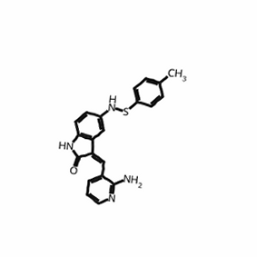 Cc1ccc(SNc2ccc3c(c2)/C(=C/c2cccnc2N)C(=O)N3)cc1